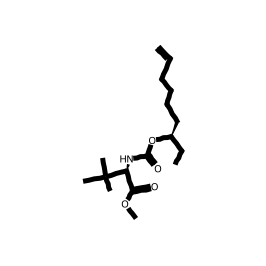 C=CCCCC[C@@H](CC)OC(=O)N[C@H](C(=O)OC)C(C)(C)C